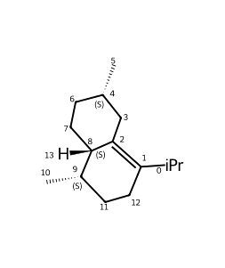 CC(C)C1=C2C[C@@H](C)CC[C@H]2[C@@H](C)CC1